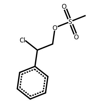 CS(=O)(=O)OCC(Cl)c1ccccc1